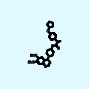 COc1cc2ncnc(N3CCC(OC(=O)N(C)c4ccc(OC5CCCC5)cc4)CC3)c2cc1OC